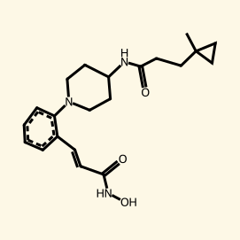 CC1(CCC(=O)NC2CCN(c3ccccc3C=CC(=O)NO)CC2)CC1